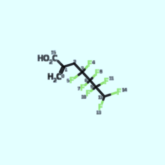 C=C(CC(F)(F)C(F)(F)C(F)(F)C(F)F)C(=O)O